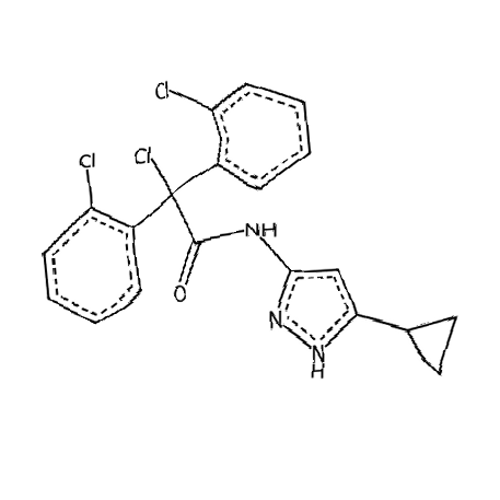 O=C(Nc1cc(C2CC2)[nH]n1)C(Cl)(c1ccccc1Cl)c1ccccc1Cl